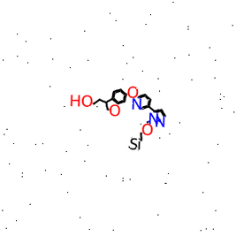 C[Si](C)(C)CCOCn1nccc1-c1ccc(Oc2ccc3c(c2)OCC3CCO)nc1